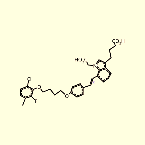 Cc1ccc(Cl)c(OCCCCOc2ccc(/C=C/c3cccc4c(CCCC(=O)O)cn(CC(=O)O)c34)cc2)c1F